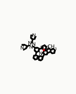 CC1(C)c2ccccc2-c2cc3c4ccccc4n(-c4c(-c5ccccc5)cc(-c5nc(-c6ccncc6)nc(-c6ccncc6)n5)cc4-c4ccccc4)c3cc21